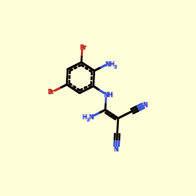 N#CC(C#N)=C(N)Nc1cc(Br)cc(Br)c1N